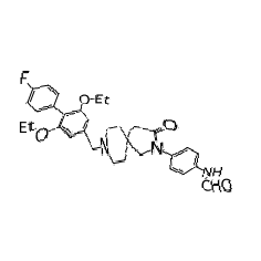 CCOc1cc(CN2CCC3(CC2)CC(=O)N(c2ccc(NC=O)cc2)C3)cc(OCC)c1-c1ccc(F)cc1